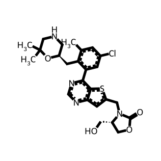 Cc1cc(Cl)cc(-c2ncnc3cc(CN4C(=O)OC[C@@H]4CO)sc23)c1C[C@@H]1CNCC(C)(C)O1